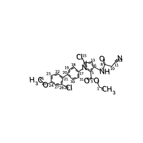 CCOC(=O)c1c(NC(=O)CC#N)cc(Cl)n1-c1ccc(-c2ccc(OC)cc2Cl)cc1